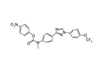 CN(C(=O)Oc1ccc([N+](=O)[O-])cc1)c1ccc(-c2ncn(-c3ccc(OC(F)(F)F)cc3)n2)cc1